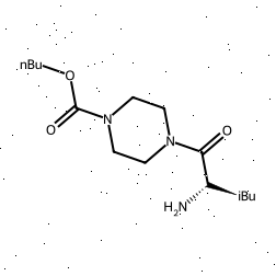 CCCCOC(=O)N1CCN(C(=O)[C@@H](N)[C@H](C)CC)CC1